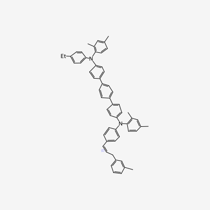 CCc1ccc(N(c2ccc(-c3ccc(-c4ccc(N(c5ccc(/C=C\Cc6cccc(C)c6)cc5)c5ccc(C)cc5C)cc4)cc3)cc2)c2ccc(C)cc2C)cc1